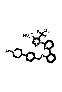 CC(=O)N1CCC(c2ccc(COc3ccccc3-c3cccc(-n4ncc(C(=O)O)c4C(F)(F)C(F)(F)F)n3)cc2)CC1